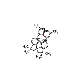 CC1(C)CC2(CC(C)(C)c3ccc(-c4cc(C(F)(F)F)cc(C(F)(F)F)c4)c(O)c32)c2c1ccc(-c1cc(C(F)(F)F)cc(C(F)(F)F)c1)c2O